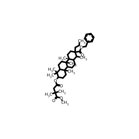 CCCC1(C(=O)OCc2ccccc2)CC[C@]2(C)C(CCC3C4(C)CCC(OC(=O)CC(C)(C)C(=O)OC)C(C)(C)C4CCC32C)C1C